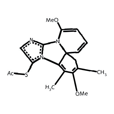 COC1=CC=CC23CC(C)=C(OC)C(C)=C2n2c(SC(C)=O)cnc2N13